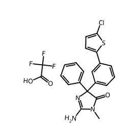 CN1C(=O)C(c2ccccc2)(c2cccc(-c3ccc(Cl)s3)c2)N=C1N.O=C(O)C(F)(F)F